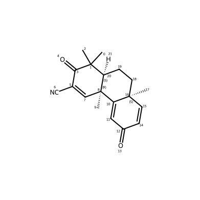 CC1(C)C(=O)C(C#N)=C[C@]2(C)C3=CC(=O)C=C[C@]3(C)CC[C@H]12